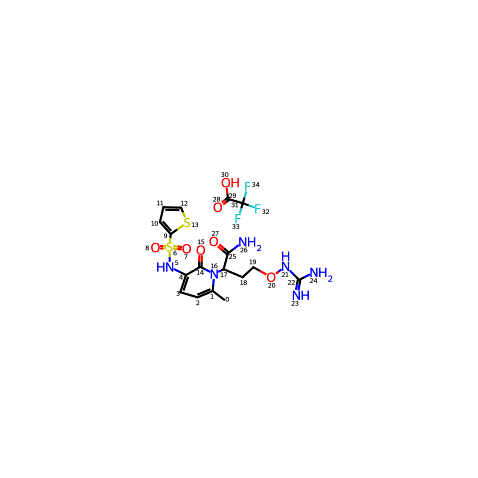 Cc1ccc(NS(=O)(=O)c2cccs2)c(=O)n1C(CCONC(=N)N)C(N)=O.O=C(O)C(F)(F)F